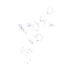 C[C@@H]1[C@@H](NC(=O)[C@@H]2[C@H]([C@H](C)O)[C@H](CN=[N+]=[N-])ON2Cc2cccc(-c3cc(C(=O)N[C@@H](Cc4ccccc4)CN(C)C)cc(N(C)C)c3)c2F)C[C@@H](C)C(C)(C)[C@H]1C